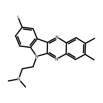 Cc1cc2nc3c4cc(I)ccc4n(CCN(C)C)c3nc2cc1C